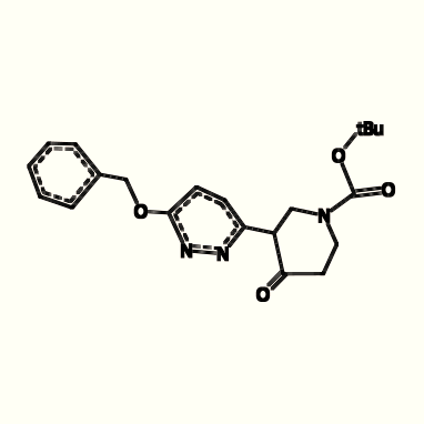 CC(C)(C)OC(=O)N1CCC(=O)C(c2ccc(OCc3ccccc3)nn2)C1